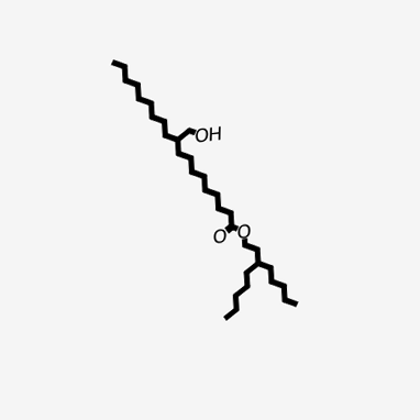 CCCCCCCCCC(CO)CCCCCCCCC(=O)OCCC(CCCCC)CCCCC